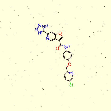 O=C(Nc1ccc(OCc2ccc(Cl)cn2)cc1)c1coc2cc(-c3nnn[nH]3)ncc12